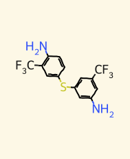 Nc1cc(Sc2ccc(N)c(C(F)(F)F)c2)cc(C(F)(F)F)c1